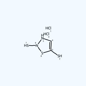 Cl.Cl.SC1=CNN(S)S1